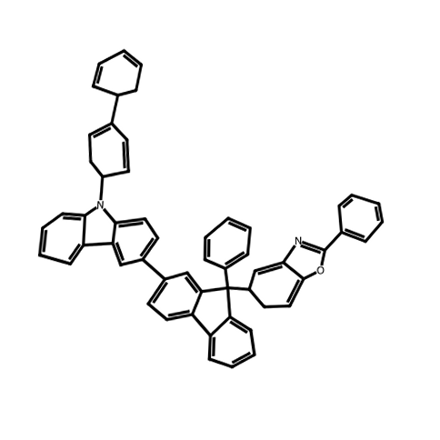 C1=CCC(C2=CCC(n3c4ccccc4c4cc(-c5ccc6c(c5)C(c5ccccc5)(C5C=c7nc(-c8ccccc8)oc7=CC5)c5ccccc5-6)ccc43)C=C2)C=C1